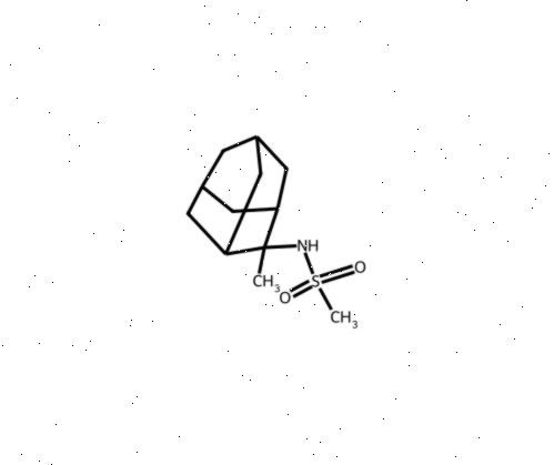 CC1(NS(C)(=O)=O)C2CC3CC(C2)CC1C3